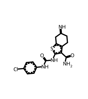 N=C1CCc2c(sc(NC(=O)Nc3ccc(Cl)cc3)c2C(N)=O)C1